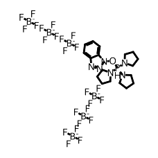 F[B-](F)(F)F.F[B-](F)(F)F.F[B-](F)(F)F.F[B-](F)(F)F.F[B-](F)(F)F.F[B-](F)(F)F.c1ccc2c(c1)nnn2O[PH](N1CCCC1)(N1CCCC1)N1CCCC1